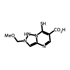 COCN1C=C2N=CC(C(=O)O)=C(S)N2N1